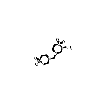 CN1CN(CN2CCS(=O)(=O)NC2)CCS1(=O)=O